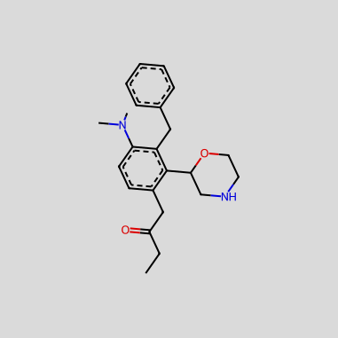 CCC(=O)Cc1ccc(N(C)C)c(Cc2ccccc2)c1C1CNCCO1